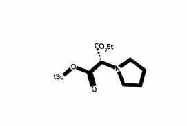 CCOC(=O)[C@@H](C(=O)OC(C)(C)C)N1CCCC1